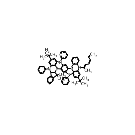 C=C/C=C\C=C(/C)N1c2ccccc2B2c3cc4c(cc3N(c3ccccc3)c3cc(C(C)(C)C)cc1c32)B1c2c(cc(C(C)(C)C)cc2N(c2ccccc2)C2c3ccccc3C(C)(C)C12)N4c1ccccc1